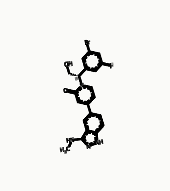 CNc1n[nH]c2ccc(-c3ccn([C@H](CO)c4cc(F)cc(Br)c4)c(=O)c3)cc12